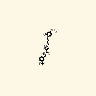 Nc1ccn(CCCCn2cc(C(=O)NCc3cccc(C(F)(F)F)c3)nn2)c(=O)c1